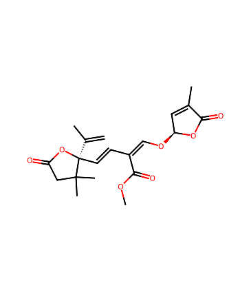 C=C(C)[C@@]1(/C=C/C(=C/O[C@H]2C=C(C)C(=O)O2)C(=O)OC)OC(=O)CC1(C)C